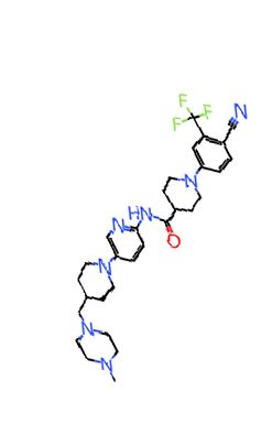 CN1CCN(CC2CCN(c3ccc(NC(=O)C4CCN(c5ccc(C#N)c(C(F)(F)F)c5)CC4)nc3)CC2)CC1